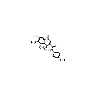 O=C(Nc1ccc(O)cc1)c1c[nH]c2cc(O)c(O)c(O)c2c1=O